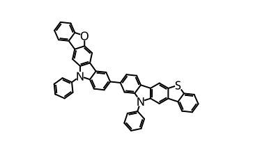 c1ccc(-n2c3ccc(-c4ccc5c6cc7sc8ccccc8c7cc6n(-c6ccccc6)c5c4)cc3c3cc4oc5ccccc5c4cc32)cc1